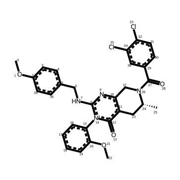 COc1ccc(CNc2nc3c(c(=O)n2-c2ccccc2OC)C[C@@H](C)N(C(=O)c2ccc(Cl)c(Cl)c2)C3)cc1